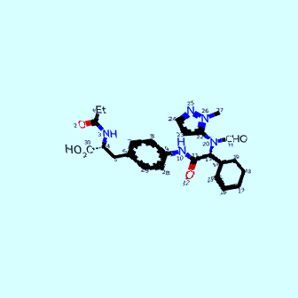 CCC(=O)N[C@H](Cc1ccc(NC(=O)[C@H](C2CCCCC2)N(C=O)c2ccnn2C)cc1)C(=O)O